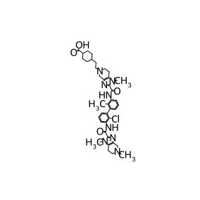 Cc1c(NC(=O)c2nc3c(n2C)CCN(CCC2CCC(C(=O)O)CC2)C3)cccc1-c1cccc(NC(=O)c2nc3c(n2C)CCN(C)C3)c1Cl